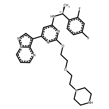 C[C@H](Nc1cc(-c2cnn3cccnc23)nc(OCCOCCN2CCNCC2)n1)c1ccc(F)cc1F